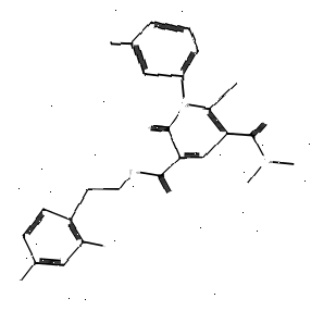 Cc1c(C(=O)N(C)C)cc(C(=O)NCCc2ccc(Cl)cc2Cl)c(=O)n1-c1cccc(C(F)(F)F)c1